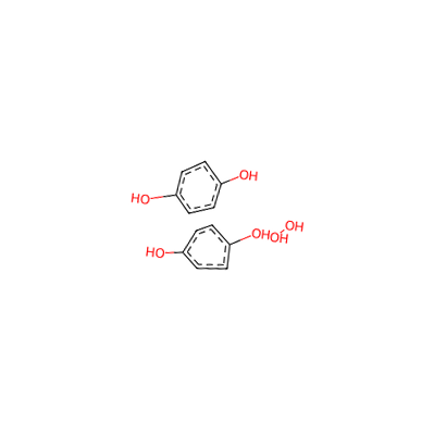 OO.Oc1ccc(O)cc1.Oc1ccc(O)cc1